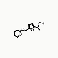 CC(O)c1ccc(COC2CCCCO2)o1